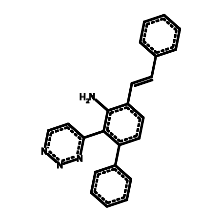 Nc1c(C=Cc2ccccc2)ccc(-c2ccccc2)c1-c1ccnnn1